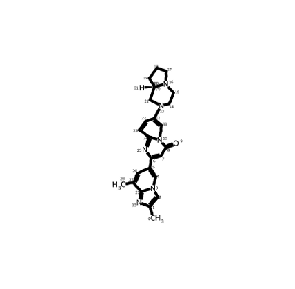 Cc1cn2cc(-c3cc(=O)n4cc(N5CCN6CCC[C@H]6C5)ccc4n3)cc(C)c2n1